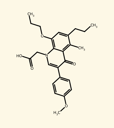 CCCOc1cc(CCC)c(C)c2c(=O)c(-c3ccc(OC)cc3)cn(CC(=O)O)c12